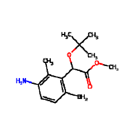 Bc1ccc(N)c(C)c1C(OC(C)(C)C)C(=O)OC